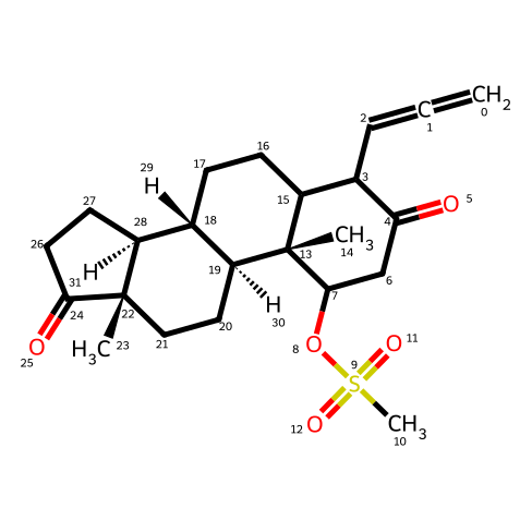 C=C=CC1C(=O)CC(OS(C)(=O)=O)[C@@]2(C)C1CC[C@@H]1[C@@H]2CC[C@]2(C)C(=O)CC[C@@H]12